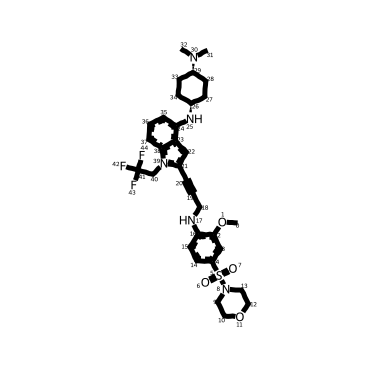 COc1cc(S(=O)(=O)N2CCOCC2)ccc1NCC#Cc1cc2c(N[C@H]3CC[C@@H](N(C)C)CC3)cccc2n1CC(F)(F)F